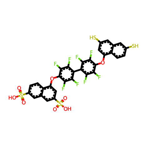 O=S(=O)(O)c1ccc2c(Oc3c(F)c(F)c(-c4c(F)c(F)c(Oc5cc(S)cc6cc(S)ccc56)c(F)c4F)c(F)c3F)cc(S(=O)(=O)O)cc2c1